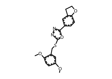 COc1ccc(OC)c(CSc2nnc(-c3ccc4c(c3)CCO4)o2)c1